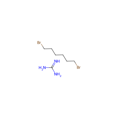 BrCCCCCCBr.N=C(N)N